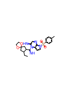 CCC1CC2(CC1C(=N)n1c(=N)cnc3c1ccn3S(=O)(=O)c1ccc(C)cc1)OCCO2